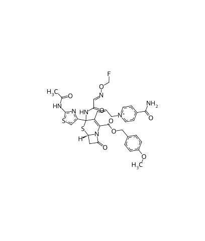 COc1ccc(COC(=O)C2=C(/C=C\C[n+]3ccc(C(N)=O)cc3)C(NC(=O)C=NOCF)(c3csc(NC(C)=O)n3)S[C@H]3CC(=O)N23)cc1